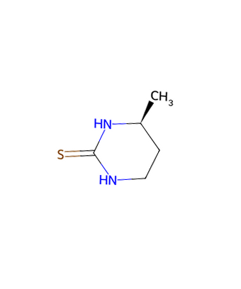 C[C@H]1CCNC(=S)N1